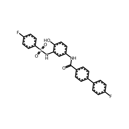 O=C(Nc1ccc(O)c(NS(=O)(=O)c2ccc(F)cc2)c1)c1ccc(-c2ccc(F)cc2)cc1